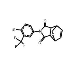 O=C1C2C3C=CC(CC3)C2C(=O)N1c1ccc(Br)c(C(F)(F)F)c1